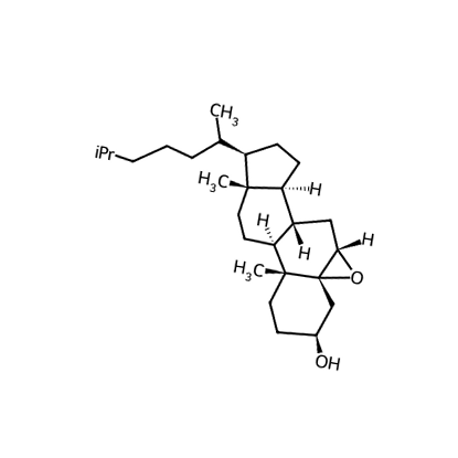 CC(C)CCCC(C)[C@H]1CC[C@H]2[C@@H]3C[C@@H]4O[C@@]45C[C@@H](O)CC[C@]5(C)[C@H]3CC[C@]12C